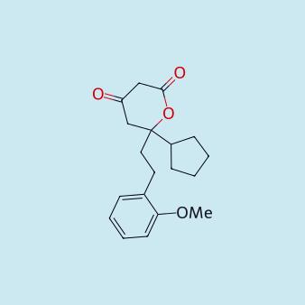 COc1ccccc1CCC1(C2CCCC2)CC(=O)CC(=O)O1